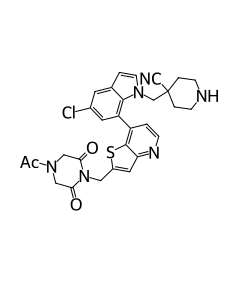 CC(=O)N1CC(=O)N(Cc2cc3nccc(-c4cc(Cl)cc5ccn(CC6(C#N)CCNCC6)c45)c3s2)C(=O)C1